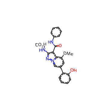 COc1cc(-c2ccccc2O)cn2nc(NC(=O)O)c(C(=O)Nc3ccccc3)c12